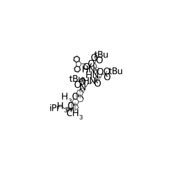 CC(C)CCC[C@@H](C)[C@H]1CCC2C3CC=C4C[C@@H](N(CCCNC(=O)[C@H](CCC(=O)OC(C)(C)C)NC(=O)[C@H](CCC(=O)OC(C)(C)C)NC(=O)OCC5c6ccccc6-c6ccccc65)C(=O)OC(C)(C)C)CC[C@]4(C)C3CC[C@@]21C